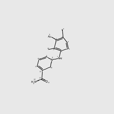 CC(=O)c1c(C)ccc(NN2C=CC=C(C(N)=O)C2)c1C